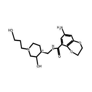 Nc1cc2c(c(C(=O)NC[C@@H]3CCN(CCCO)CC3O)c1)OCCO2